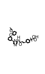 CCOc1ccccc1Oc1cccc(-c2cncc(NC(=O)C=Cc3ccc(C(C)(C)C(=O)O)cc3)n2)c1